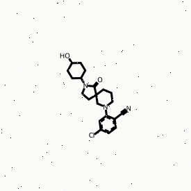 N#Cc1ccc(Cl)cc1N1CCCC2(CCN(C3CCC(O)CC3)C2=O)C1